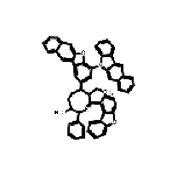 CCC1/C(c2cccc3oc4ccccc4c23)=N\C(c2ccccc2)C(C)CCC1c1cc(-n2c3ccccc3c3cc4ccccc4cc32)c2oc3cc4ccccc4cc3c2c1